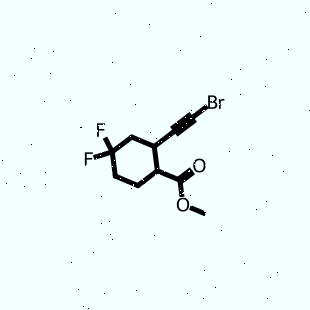 COC(=O)C1CCC(F)(F)CC1C#CBr